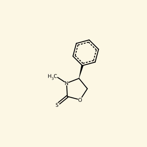 CN1C(=S)OC[C@@H]1c1ccccc1